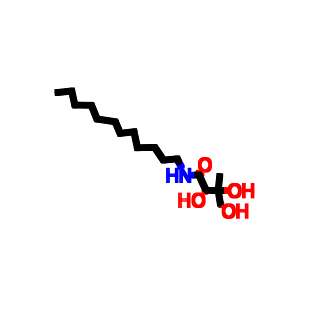 CCCCCCCCCCCCNC(=O)C(O)C(C)(O)CO